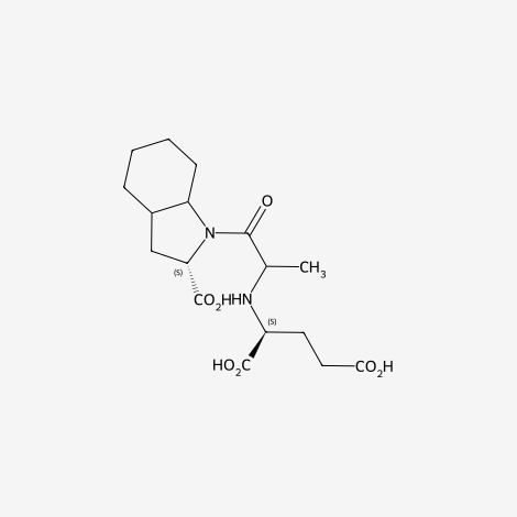 CC(N[C@@H](CCC(=O)O)C(=O)O)C(=O)N1C2CCCCC2C[C@H]1C(=O)O